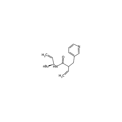 C=CC(Cc1cccnc1)C(=O)N[C@H](C=C)CCCC